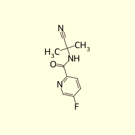 CC(C)(C#N)NC(=O)c1ccc(F)cn1